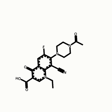 CCn1cc(C(=O)O)c(=O)c2cc(F)c(N3CCN(C(C)=O)CC3)c(C#N)c21